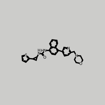 O=C(Nc1ccc(-c2ccc(CN3CCOCC3)nc2)c2ccccc12)NC1CC1c1cccs1